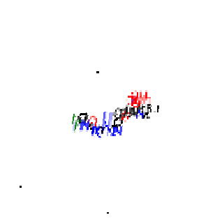 COc1cc2c(Nc3cnn(CC(=O)Nc4cccc(F)c4F)c3)ncnc2cc1OCCCN(C1CCC1)C(COP(=O)(O)O)(C(C)(C)C)C(C)(C)C